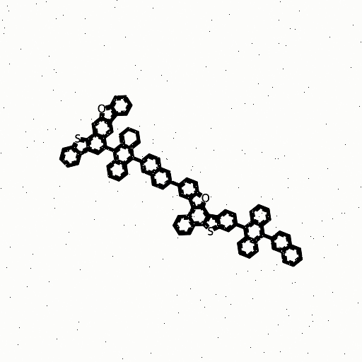 C1=c2c(-c3ccc4cc(-c5ccc6oc7c(c6c5)c5ccccc5c5sc6cc(-c8c9ccccc9c(-c9ccc%10ccccc%10c9)c9ccccc89)ccc6c75)ccc4c3)c3ccccc3c(-c3cc4c5ccccc5sc4c4cc5oc6ccccc6c5cc34)c2=CCC1